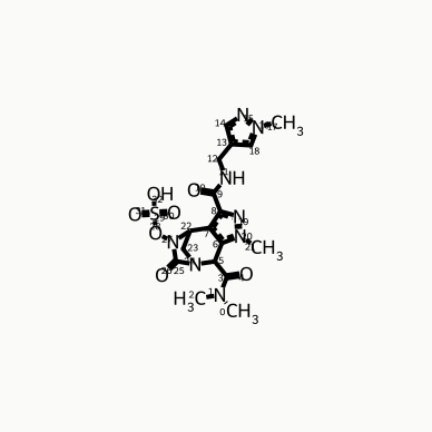 CN(C)C(=O)C1c2c(c(C(=O)NCc3cnn(C)c3)nn2C)C2CN1C(=O)N2OS(=O)(=O)O